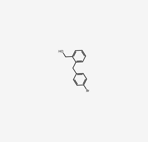 OCc1ccccc1Cc1ccc(Br)cc1